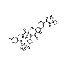 COc1ccc(F)cc1CNC(=O)C1(C)COc2c(oc3cc(C(=O)NC4(C)COC4)ccc23)C(=O)N1[C@H]1C[C@@H](OC)C1